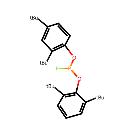 CC(C)(C)c1ccc(OP(F)Oc2c(C(C)(C)C)cccc2C(C)(C)C)c(C(C)(C)C)c1